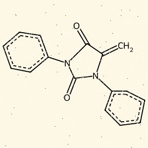 C=C1C(=O)N(c2ccccc2)C(=O)N1c1ccccc1